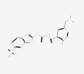 CN(C)Cc1ccc(Cl)c(C(=O)NC(=O)Nc2nc3ccc(S(C)(=O)=O)cc3s2)c1